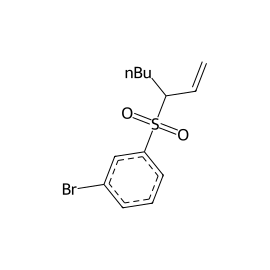 C=CC(CCCC)S(=O)(=O)c1cccc(Br)c1